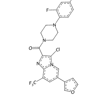 O=C(c1nc2c(C(F)(F)F)cc(-c3ccoc3)cn2c1Cl)N1CCN(c2ccc(F)cc2F)CC1